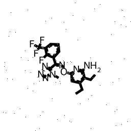 CCc1cc(ON=C(c2cccc(C(F)(F)F)c2F)c2nnnn2C)nc(N)c1CC